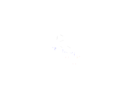 COC1=NC(=C(C#N)c2ccccc2)C=CC1=NOS(C)(=O)=O